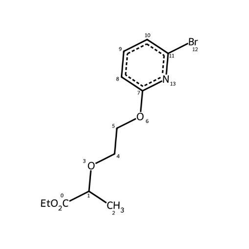 CCOC(=O)C(C)OCCOc1cccc(Br)n1